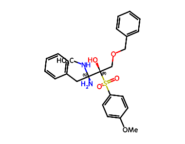 COc1ccc(S(=O)(=O)[C@@](O)(COCc2ccccc2)[C@](N)(Cc2ccccc2)NC(=O)O)cc1